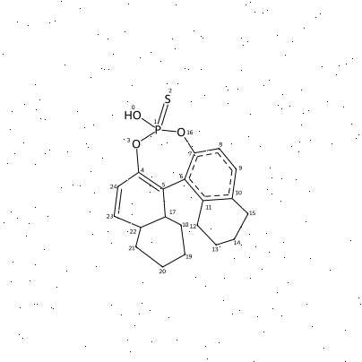 OP1(=S)OC2=C(c3c(ccc4c3CCCC4)O1)C1CCCCC1C=C2